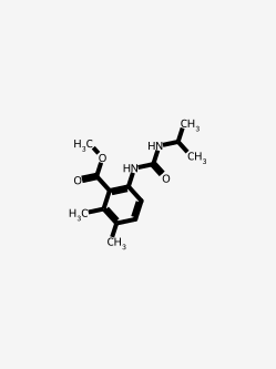 COC(=O)c1c(NC(=O)NC(C)C)ccc(C)c1C